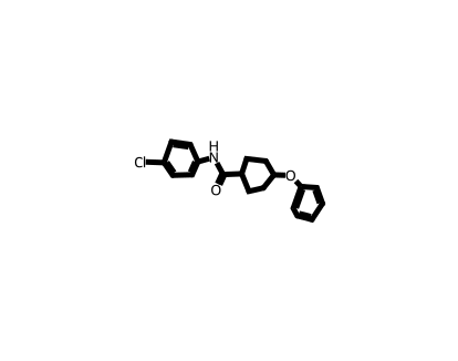 O=C(Nc1ccc(Cl)cc1)C1CCC(Oc2ccccc2)CC1